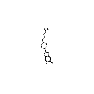 CCCCCC1CCC(C2=Cc3cc(F)c(F)cc3C2)CC1